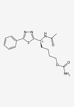 CC(=O)N[C@@H](CCCCOC(N)=O)c1nnc(-c2ccccc2)s1